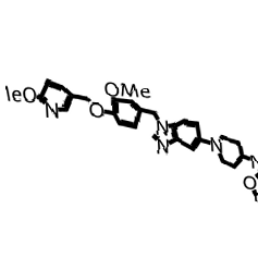 COc1ccc(COc2ccc(Cn3cnc4cc(N5CCC(NC(=O)OC(C)(C)C)CC5)ccc43)cc2OC)cn1